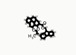 C[C@H](N)C(=O)Oc1c(C(=O)OCC2c3ccccc3-c3ccccc32)cc2ccc3cccc4ccc1c2c34